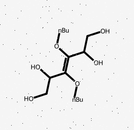 CCCCO/C(=C(/OCCCC)C(O)CO)C(O)CO